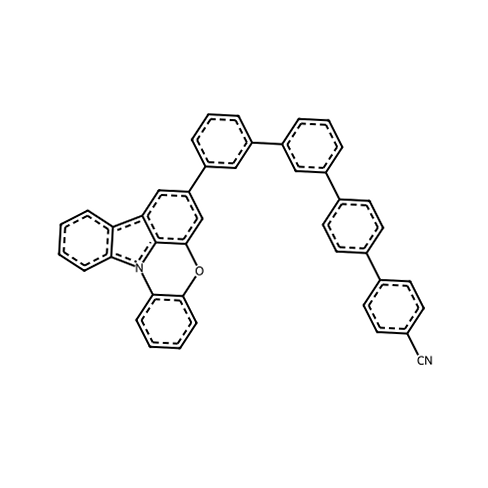 N#Cc1ccc(-c2ccc(-c3cccc(-c4cccc(-c5cc6c7c(c5)c5ccccc5n7-c5ccccc5O6)c4)c3)cc2)cc1